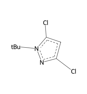 CC(C)(C)n1nc(Cl)cc1Cl